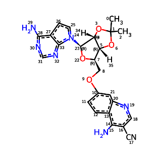 CC1(C)O[C@@H]2[C@H](O1)[C@@H](COc1ccc3c(N)c(C#N)cnc3c1)O[C@H]2n1ccc2c(N)ncnc21